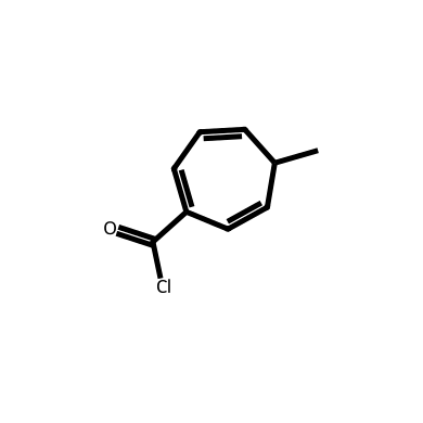 CC1C=CC=C(C(=O)Cl)C=C1